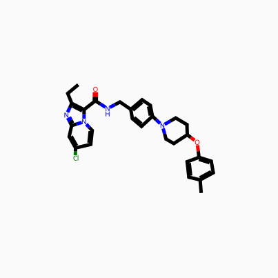 CCc1nc2cc(Cl)ccn2c1C(=O)NCc1ccc(N2CCC(Oc3ccc(C)cc3)CC2)cc1